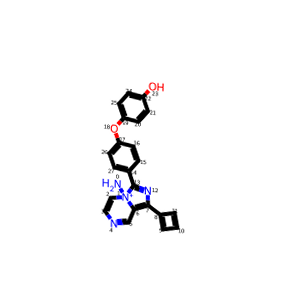 N[N+]12C=CN=CC1=C(C1=CC=C1)N=C2c1ccc(Oc2ccc(O)cc2)cc1